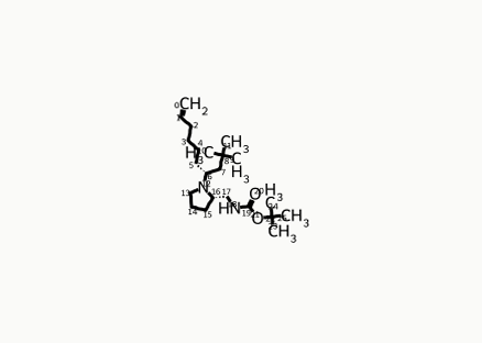 C=CCCCC[C@H](CC(C)(C)C)N1CCC[C@H]1CNC(=O)OC(C)(C)C